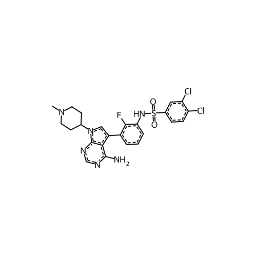 CN1CCC(n2cc(-c3cccc(NS(=O)(=O)c4ccc(Cl)c(Cl)c4)c3F)c3c(N)ncnc32)CC1